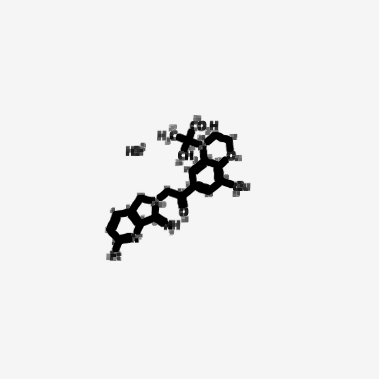 Br.CCc1ccc2c(n1)C(=N)N(CC(=O)c1cc3c(c(C(C)(C)C)c1)OCCN3C(C)(C)C(=O)O)C2